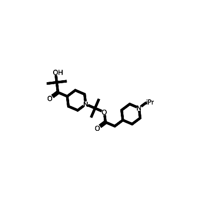 CC(C)N1CCC(CC(=O)OC(C)(C)N2CCC(C(=O)C(C)(C)O)CC2)CC1